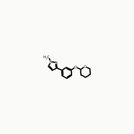 Cn1ccc(-c2cccc(OC3CCCCO3)c2)n1